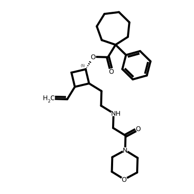 C=CC1C[C@H](OC(=O)C2(c3ccccc3)CCCCCC2)C1CCNCC(=O)N1CCOCC1